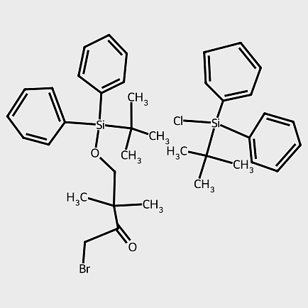 CC(C)(C)[Si](Cl)(c1ccccc1)c1ccccc1.CC(C)(CO[Si](c1ccccc1)(c1ccccc1)C(C)(C)C)C(=O)CBr